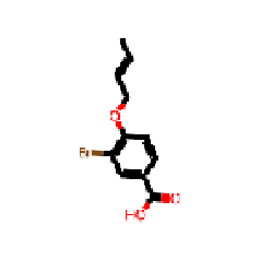 CC=CCOc1ccc(C(=O)O)cc1Br